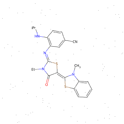 CCN1C(=O)C(=C2Sc3ccccc3N2C)SC1=Nc1cc(C#N)ccc1NC(C)C